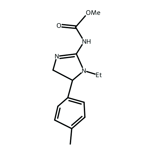 CCN1C(NC(=O)OC)=NCC1c1ccc(C)cc1